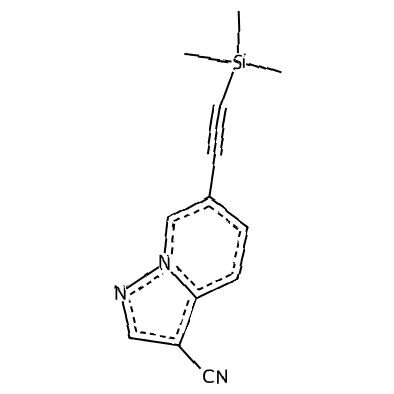 C[Si](C)(C)C#Cc1ccc2c(C#N)cnn2c1